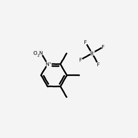 Cc1cc[n+]([N+](=O)[O-])c(C)c1C.F[B-](F)(F)F